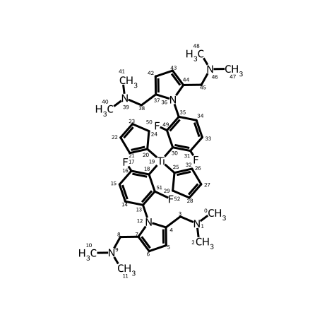 CN(C)Cc1ccc(CN(C)C)n1-c1ccc(F)[c]([Ti]([C]2=CC=CC2)([C]2=CC=CC2)[c]2c(F)ccc(-n3c(CN(C)C)ccc3CN(C)C)c2F)c1F